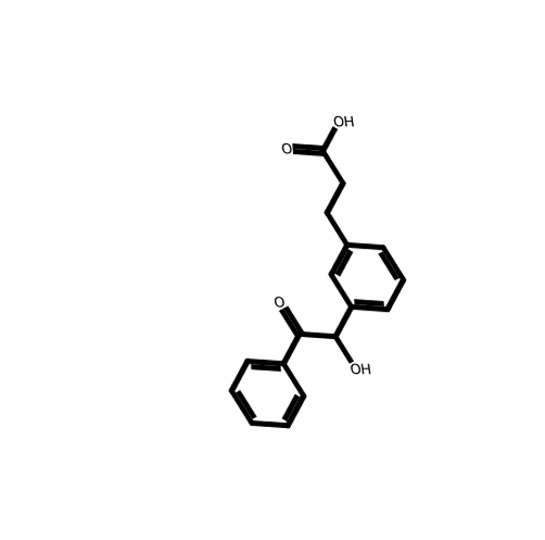 O=C(O)CCc1cccc(C(O)C(=O)c2ccccc2)c1